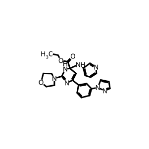 CCOC(=O)C1(Nc2cccnc2)C=C(c2cccc(-n3cccn3)c2)N=C(N2CCOCC2)N1